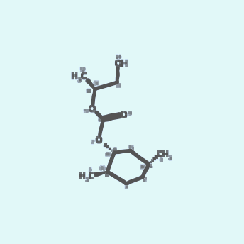 C[C@@H]1CC[C@@H](C)[C@H](OC(=O)O[C@@H](C)CO)C1